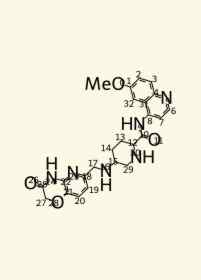 COc1ccc2nccc(NC(=O)C3CCC(NCc4ccc5c(n4)NC(=O)CO5)CN3)c2c1